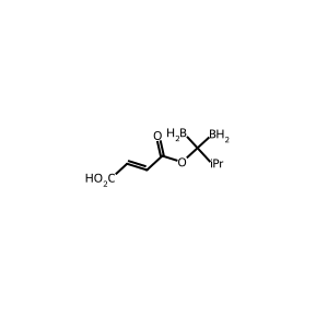 BC(B)(OC(=O)/C=C/C(=O)O)C(C)C